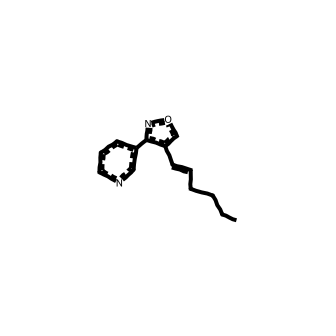 CCCC/C=C/c1conc1-c1cccnc1